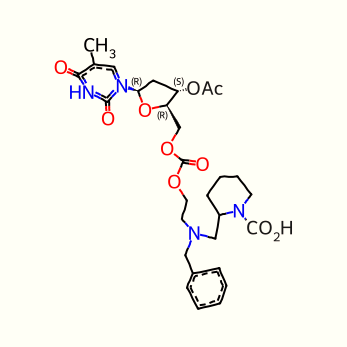 CC(=O)O[C@H]1C[C@H](n2cc(C)c(=O)[nH]c2=O)O[C@@H]1COC(=O)OCCN(Cc1ccccc1)CC1CCCCN1C(=O)O